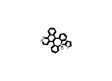 O=P1(c2cccs2)c2ccccc2-c2c(c3ccnnc3c3ccccc23)-c2ccccc21